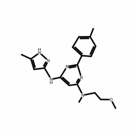 COCCN(C)c1cc(Nc2cc(C)[nH]n2)nc(-c2ccc(C)cc2)n1